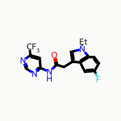 CCn1cc(CC(=O)Nc2cc(C(F)(F)F)ncn2)c2cc(F)ccc21